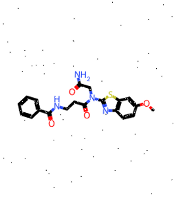 COc1ccc2nc(N(CC(N)=O)C(=O)CCNC(=O)c3ccccc3)sc2c1